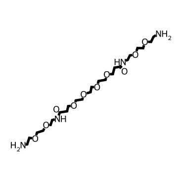 NCCOCCOCCNC(=O)CCOCCOCCOCCOCCC(=O)NCCOCCOCCN